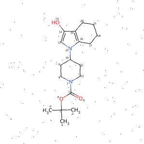 CC(C)(C)OC(=O)N1CCC(n2cc(O)c3c2CCCC3)CC1